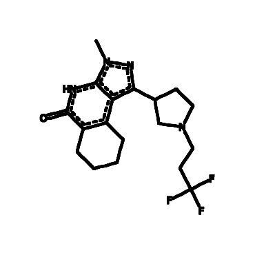 Cn1nc(C2CCN(CCC(F)(F)F)C2)c2c3c(c(=O)[nH]c21)CCCC3